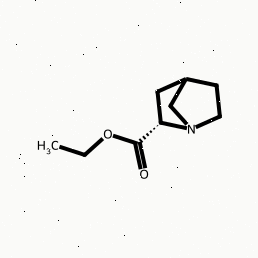 CCOC(=O)[C@@H]1CC2CCN1C2